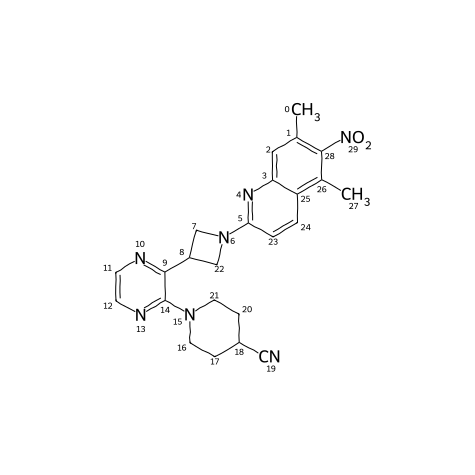 Cc1cc2nc(N3CC(c4nccnc4N4CCC(C#N)CC4)C3)ccc2c(C)c1[N+](=O)[O-]